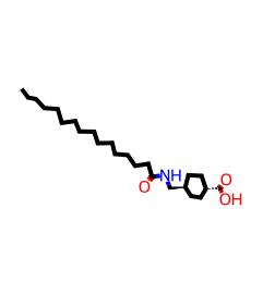 CCCCCCCCCCCCCCCC(=O)NC[C@H]1CC[C@H](C(=O)O)CC1